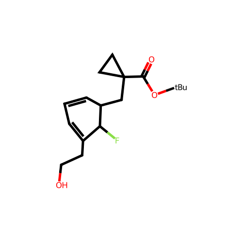 CC(C)(C)OC(=O)C1(CC2C=CC=C(CCO)C2F)CC1